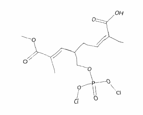 COC(=O)C(C)=CC(CC=C(C)C(=O)O)COP(=O)(OCl)OCl